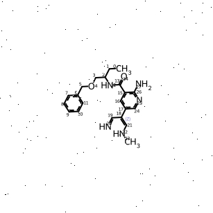 CCC(COCc1ccccc1)NC(=O)c1cc(/C(C=N)=C/NC)cnc1N